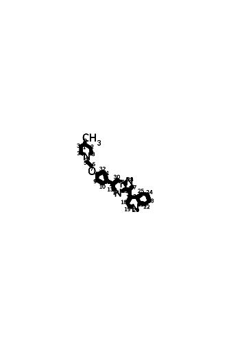 CC1CCN(CCOc2ccc(-c3cnc4c(-c5ccnc6ccccc56)cnn4c3)cc2)CC1